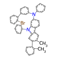 Cc1ccccc1-c1cc2c(cc1C)c1ccc(N(c3ccccc3)c3cccc(-c4ccccc4Br)c3)cc1n2-c1ccccc1